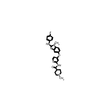 CN1CCC(C(=O)Nc2cc(Oc3ccc4c(c3)nc(Nc3ccc(F)cc3)n4C)ccn2)CC1